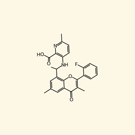 Cc1cc(C(C)Nc2ccc(C)nc2C(=O)O)c2oc(-c3ccccc3F)c(C)c(=O)c2c1